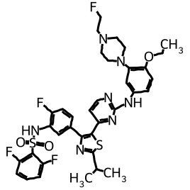 CCOc1ccc(Nc2nccc(-c3sc(C(C)C)nc3-c3ccc(F)c(NS(=O)(=O)c4c(F)cccc4F)c3)n2)cc1N1CCN(CCF)CC1